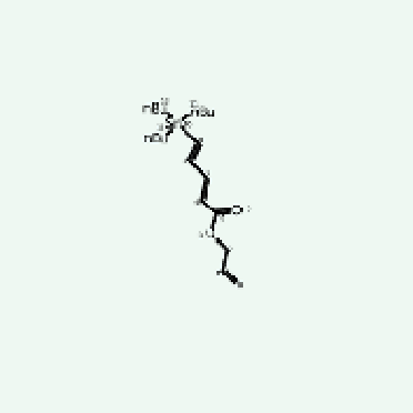 C=CCOC(=O)/C=C/C=[CH]/[Sn]([CH2]CCC)([CH2]CCC)[CH2]CCC